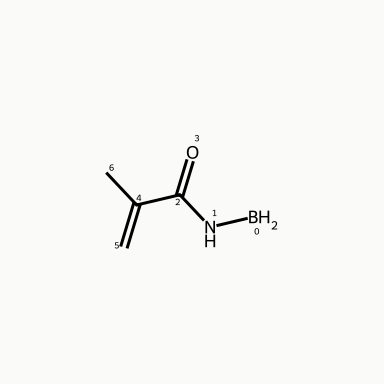 BNC(=O)C(=C)C